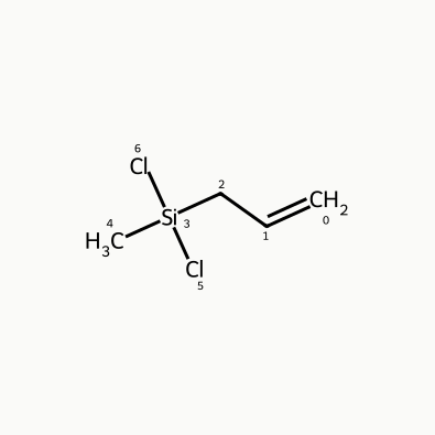 C=CC[Si](C)(Cl)Cl